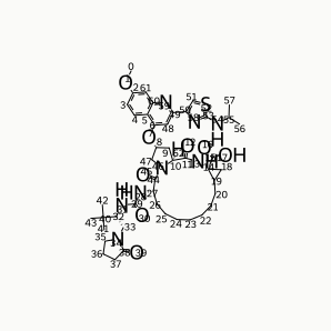 COc1ccc2c(O[C@@H]3C[C@H]4C(=O)N[C@]5(C(=O)O)CC5CCCCCCC[C@H](NC(=O)N[C@H](CN5CCCC5=O)C(C)(C)C)C(=O)N4C3)cc(-c3csc(NC(C)C)n3)nc2c1